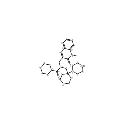 Cn1c(=O)c(CN(CC2(N3CCNCC3)CCOCC2)C(=O)C2CCCCC2)cc2ccccc21